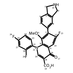 COc1c(-c2ccc3c(c2)CNC3)c(F)cc2c(=O)c(C(=O)O)cn(-c3ccc(F)cc3F)c12